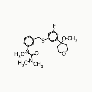 COC1(c2cc(F)cc(SCc3cccc(N(C)C(=O)N(C)C)c3)c2)CCOCC1